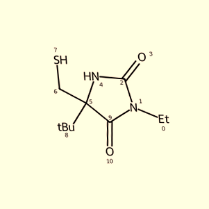 CCN1C(=O)NC(CS)(C(C)(C)C)C1=O